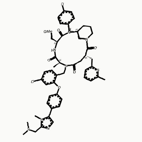 COC[C@@H]1NC(=O)[C@H](C)N(Cc2ccc(Cl)cc2Oc2ccc(-c3cnc(CN(C)C)n3C)cc2)C(=O)C[C@@H](Cc2cccc(C)n2)C(=O)N2CCC[C@@](Cc3ccc(Cl)cc3)(C2)NC1=O